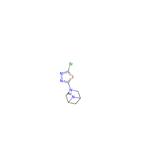 CC(=O)N1C2CC1CN(c1nnc(Br)s1)C2